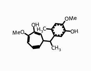 COC1=CC#CC(C(C)c2cc(O)c(OC)cc2C)C=C1O